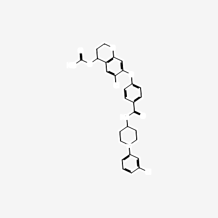 O=C(O)OC1CCOc2cc(Oc3ccc(C(=O)NC4CCN(c5cccc(Cl)c5)CC4)cc3)c(Cl)cc21